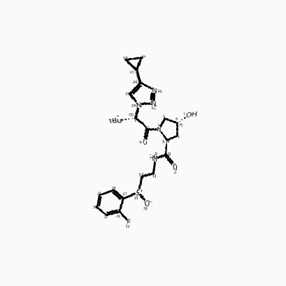 CC(C)(C)[C@@H](C(=O)N1C[C@H](O)C[C@H]1C(=O)NCC[S+]([O-])c1ccccc1F)n1cc(C2CC2)nn1